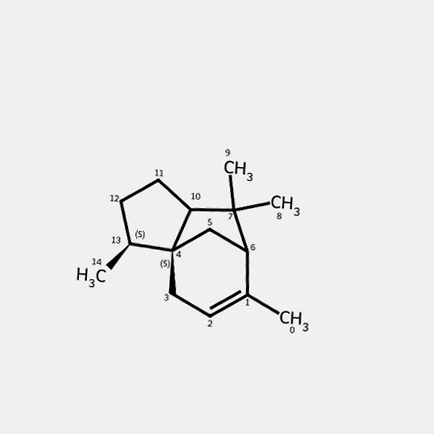 CC1=CC[C@]23CC1C(C)(C)C2CC[C@@H]3C